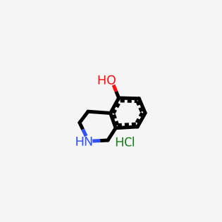 Cl.Oc1cccc2c1CCNC2